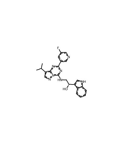 CC(C)c1cnn2c(NC[C@H](O)c3c[nH]c4ccccc34)nc(-c3cncc(F)c3)nc12